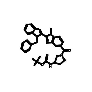 Cn1c(-c2cc3ccccc3n2Cc2ccccc2)nc2cc(C(=O)N3CCC(NC(=O)OC(C)(C)C)C3)ccc21